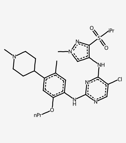 CCCOc1cc(C2CCN(C)CC2)c(C)cc1Nc1ncc(Cl)c(Nc2cn(C)nc2S(=O)(=O)C(C)C)n1